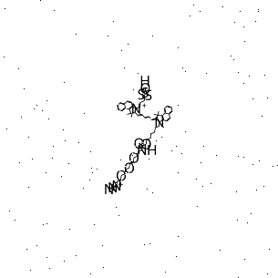 CC1(C)C(/C=C/C=C/C=C2/N(CCCCCCOC(=O)NCCOCCOCCOCCN=[N+]=[N-])c3ccc4ccccc4c3C2(C)C)=[N+](CCCC23S[SH]2(=O)S3)c2ccc3ccccc3c21